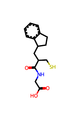 O=C(O)CNC(=O)C(CS)CC1CCc2ccccc21